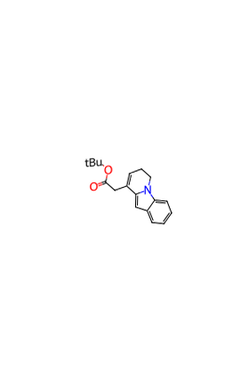 CC(C)(C)OC(=O)CC1=CCCn2c1cc1ccccc12